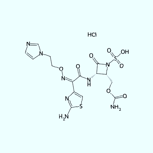 Cl.NC(=O)OC[C@@H]1[C@H](NC(=O)C(=NOCCn2ccnc2)c2csc(N)n2)C(=O)N1S(=O)(=O)O